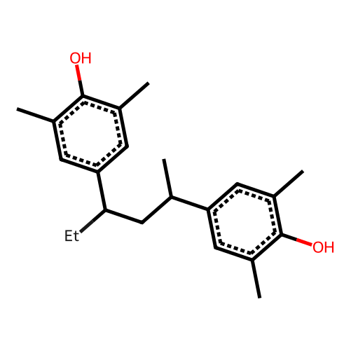 CCC(CC(C)c1cc(C)c(O)c(C)c1)c1cc(C)c(O)c(C)c1